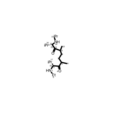 CCN[C@H](C(=O)C(C)CCC(C)C(=O)[C@@H](NC(C)C)C(C)C)C(C)C